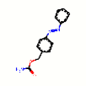 NC(=O)OCc1ccc(N=Nc2ccccc2)cc1